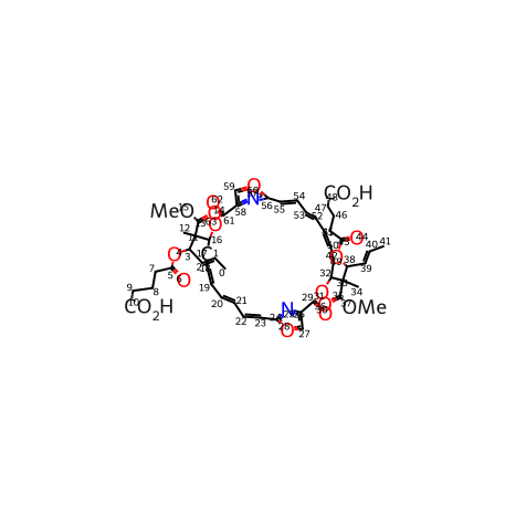 C/C=C/C(OC(=O)CCCC(=O)O)C(C)(C(=O)OC)C1C\C=C/C=C/C=C/c2nc(co2)C(=O)OC(C(C)(C(=O)OC)C(/C=C/C)OC(=O)CCCC(=O)O)C\C=C/C=C/C=C/c2nc(co2)C(=O)O1